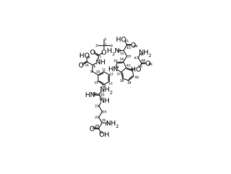 CC(C)(C)OC(=O)NC(Cc1ccccc1)C(=O)O.N=C(N)NCCCC(N)C(=O)O.NC(Cc1c[nH]c2ccccc12)C(=O)O.NCC(=O)O